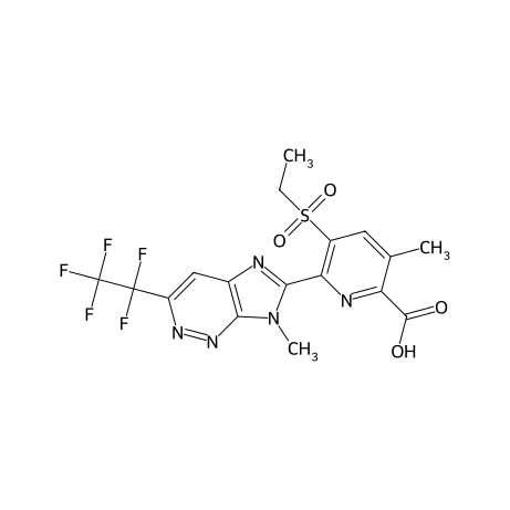 CCS(=O)(=O)c1cc(C)c(C(=O)O)nc1-c1nc2cc(C(F)(F)C(F)(F)F)nnc2n1C